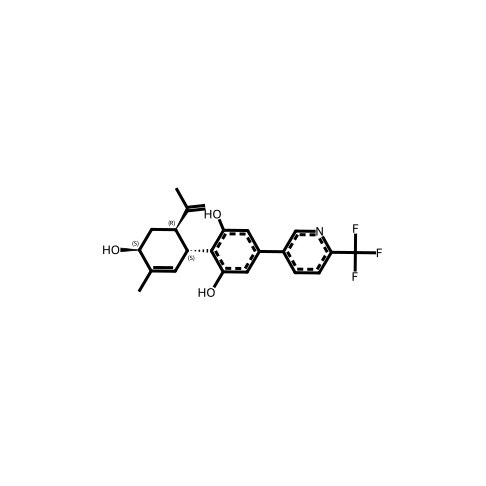 C=C(C)[C@@H]1C[C@H](O)C(C)=C[C@H]1c1c(O)cc(-c2ccc(C(F)(F)F)nc2)cc1O